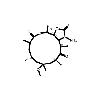 COC1(C)C[C@H](C)CC(C)C(=O)OC(C)[C@@]2(C)OC(=O)N(N)C2[C@@H](C)C(=O)[C@@H](C)C1